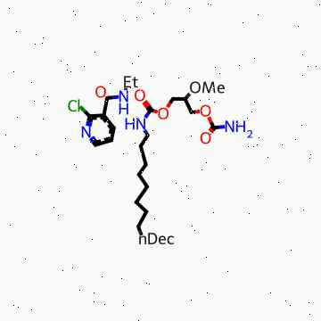 CCCCCCCCCCCCCCCCCCNC(=O)OCC(COC(N)=O)OC.CCNC(=O)c1cccnc1Cl